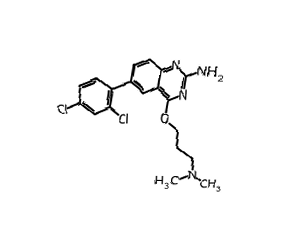 CN(C)CCCOc1nc(N)nc2ccc(-c3ccc(Cl)cc3Cl)cc12